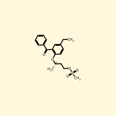 CCc1ccc(O[C@@H](C)CCOS(C)(=O)=O)c(C(=O)c2ccccc2)c1